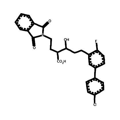 O=C(O)C(CCN1C(=O)c2ccccc2C1=O)C(O)CCc1cc(-c2ccc(Cl)cc2)ccc1F